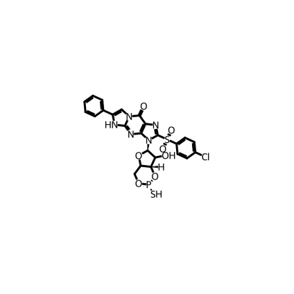 O=c1c2nc(S(=O)(=O)c3ccc(Cl)cc3)n([C@@H]3OC4CO[P@@](S)O[C@H]4C3O)c2nc2[nH]c(-c3ccccc3)cn12